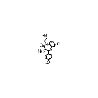 COc1ccc(C2Sc3cc(Cl)ccc3N(CCN(C)C)C(=O)C2O)cc1